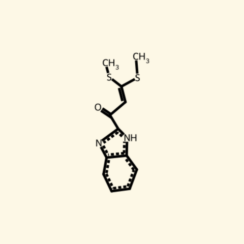 CSC(=CC(=O)c1nc2ccccc2[nH]1)SC